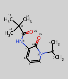 CC(C)n1cccc(NC(=O)C(C)(C)C)c1=O